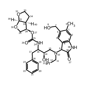 Cc1cc2c(cc1CO)C(N(CC(C)C)C[C@@H](O)C(Cc1ccccc1)NC(=O)O[C@H]1CO[C@H]3OCC[C@H]31)C(=O)N2